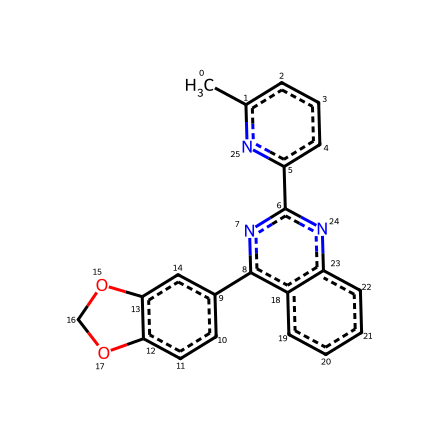 Cc1cccc(-c2nc(-c3ccc4c(c3)OCO4)c3ccccc3n2)n1